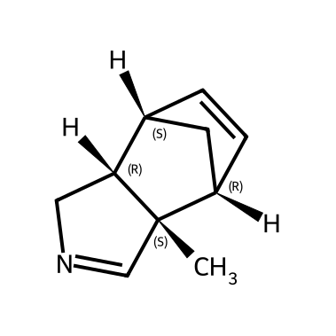 C[C@@]12C=NC[C@@H]1[C@@H]1C=C[C@H]2C1